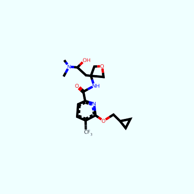 CN(C)C(O)CC1(NC(=O)c2ccc(C(F)(F)F)c(OCC3CC3)n2)COC1